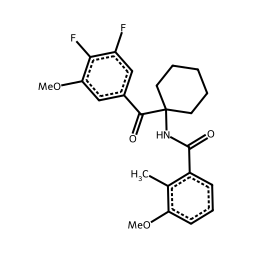 COc1cccc(C(=O)NC2(C(=O)c3cc(F)c(F)c(OC)c3)CCCCC2)c1C